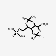 COP(=O)(OC)OCC1OC(C)(C)OC2C(C(=O)O)OC(C)(C)OC12